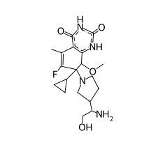 COC1c2[nH]c(=O)[nH]c(=O)c2C(C)=C(F)C1(C1CC1)N1CCC(C(N)CO)C1